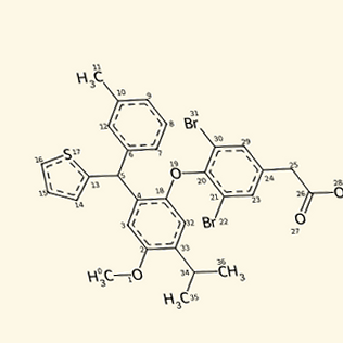 COc1cc(C(c2cccc(C)c2)c2cccs2)c(Oc2c(Br)cc(CC(=O)O)cc2Br)cc1C(C)C